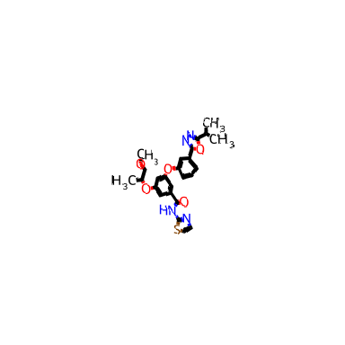 COCC(C)Oc1cc(Oc2cccc(-c3nnc(C(C)C)o3)c2)cc(C(=O)Nc2nccs2)c1